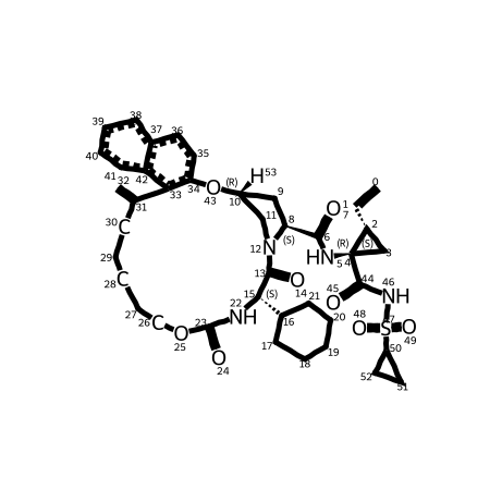 C=C[C@@H]1C[C@]1(NC(=O)[C@@H]1C[C@@H]2CN1C(=O)[C@H](C1CCCCC1)NC(=O)OCCCCCC(=C)c1c(ccc3ccccc13)O2)C(=O)NS(=O)(=O)C1CC1